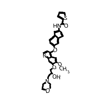 COc1cc2c(Oc3ccc4cc(NC(=O)c5cccs5)ccc4c3)ccnc2cc1OCC(O)CN1CCOCC1